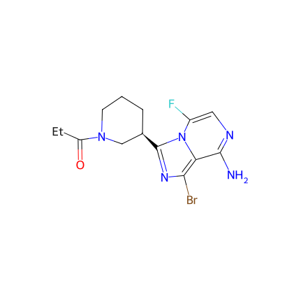 CCC(=O)N1CCC[C@@H](c2nc(Br)c3c(N)ncc(F)n23)C1